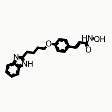 O=C(/C=C/c1ccc(OCCCCc2nc3ccccc3[nH]2)cc1)NO